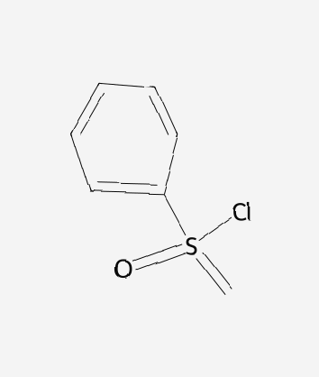 C=S(=O)(Cl)c1ccccc1